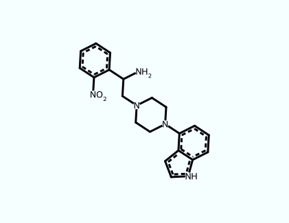 NC(CN1CCN(c2cccc3[nH]ccc23)CC1)c1ccccc1[N+](=O)[O-]